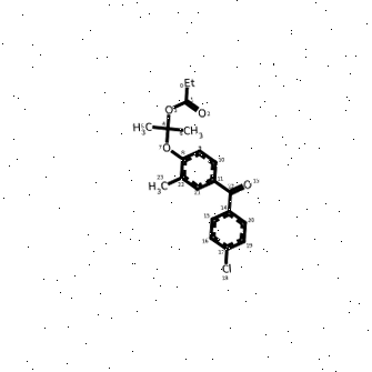 CCC(=O)OC(C)(C)Oc1ccc(C(=O)c2ccc(Cl)cc2)cc1C